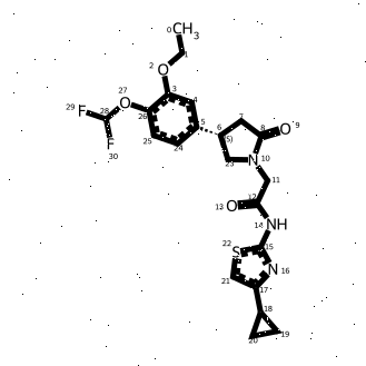 CCOc1cc([C@@H]2CC(=O)N(CC(=O)Nc3nc(C4CC4)cs3)C2)ccc1OC(F)F